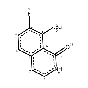 CC(C)(C)c1c(F)ccc2cc[nH]c(=O)c12